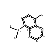 Cc1ccc([S+](C)C)c2ccccc12